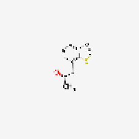 CC(=O)Cc1cccc2ccsc12